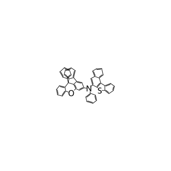 c1ccc(N(c2cc3c4c(c2)-c2ccccc2C4(c2ccccc2)c2ccccc2O3)c2cc3ccccc3c3c2sc2ccccc23)cc1